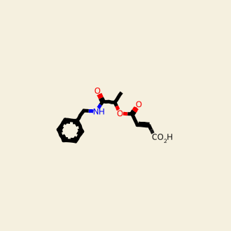 CC(OC(=O)C=CC(=O)O)C(=O)NCc1ccccc1